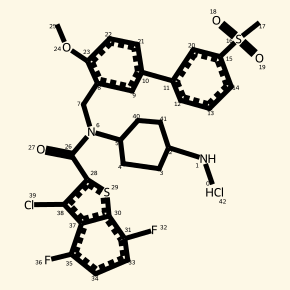 CNC1CCC(N(Cc2cc(-c3cccc(S(C)(=O)=O)c3)ccc2OC)C(=O)c2sc3c(F)ccc(F)c3c2Cl)CC1.Cl